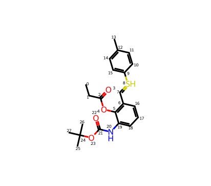 CCC(=O)Oc1c(C=[SH]c2ccc(C)cc2)cccc1NC(=O)OC(C)(C)C